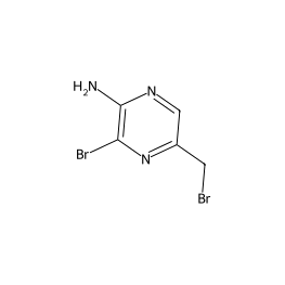 Nc1ncc(CBr)nc1Br